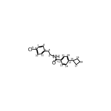 O=C(NCCc1ccc(Cl)cc1)c1ccc(C2CCC2)cc1